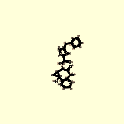 CN1C(=O)[C@@H](NC(=O)c2nnc(Cc3ccccc3)[nH]2)C2C[C@H]2c2nccnc21